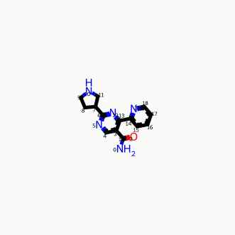 NC(=O)c1cnc(C2CCNC2)nc1-c1ccccn1